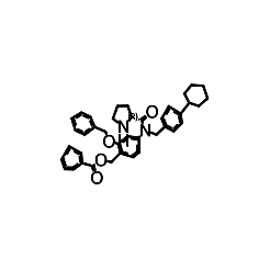 O=C(OCc1ccc(N(Cc2ccc(C3CCCCC3)cc2)C(=O)[C@H]2CCCN2)cc1OCc1ccccc1)c1ccccc1